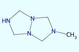 CN1CN2CNCN2C1